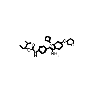 CCC(OC(=O)Nc1ccc(-c2c(N)c3ccc(OC4CCOC4)cc3n2C2CCC2)cc1)C(C)C